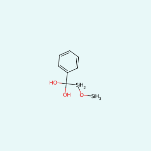 OC(O)([SiH2]O[SiH3])c1ccccc1